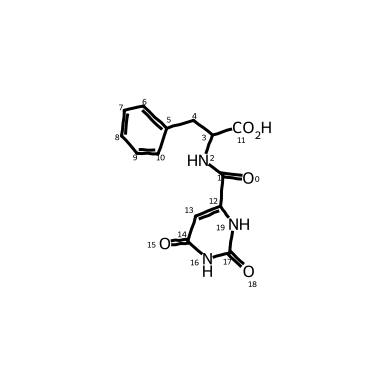 O=C(NC(Cc1ccccc1)C(=O)O)c1cc(=O)[nH]c(=O)[nH]1